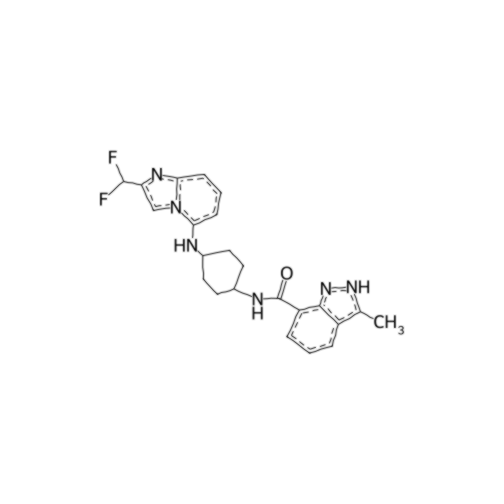 Cc1[nH]nc2c(C(=O)NC3CCC(Nc4cccc5nc(C(F)F)cn45)CC3)cccc12